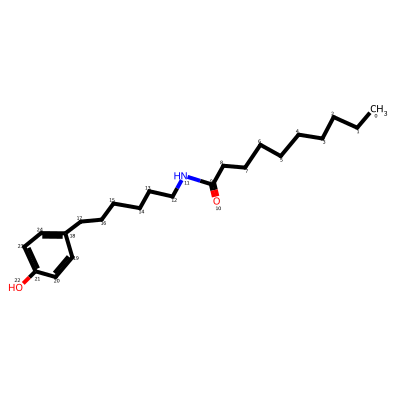 CCCCCCCCCC(=O)NCCCCCCc1ccc(O)cc1